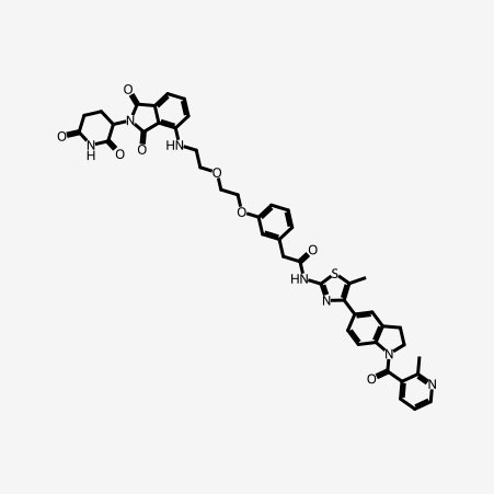 Cc1ncccc1C(=O)N1CCc2cc(-c3nc(NC(=O)Cc4cccc(OCCOCCNc5cccc6c5C(=O)N(C5CCC(=O)NC5=O)C6=O)c4)sc3C)ccc21